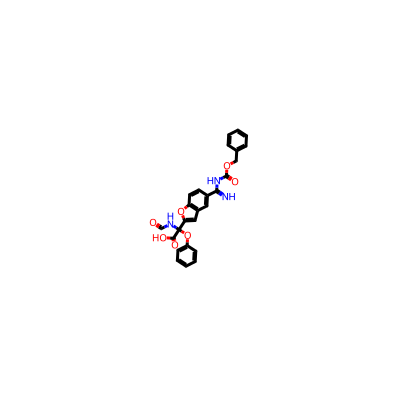 N=C(NC(=O)OCc1ccccc1)c1ccc2oc(C(NC=O)(Oc3ccccc3)C(=O)O)cc2c1